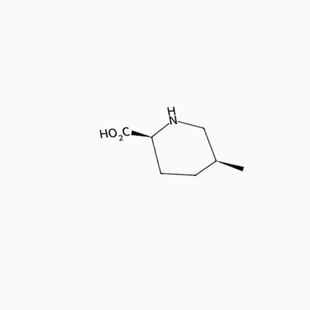 C[C@H]1CC[C@@H](C(=O)O)NC1